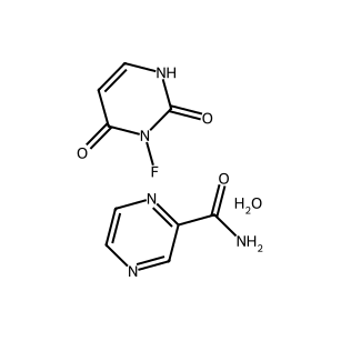 NC(=O)c1cnccn1.O.O=c1cc[nH]c(=O)n1F